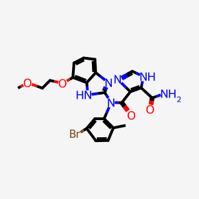 COCCOc1cccc2nc(N(C(=O)c3nc[nH]c3C(N)=O)c3cc(Br)ccc3C)[nH]c12